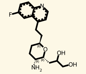 N[C@@H]1CC[C@@H](CCc2ccnc3ccc(F)cc23)O[C@@H]1CC(O)CO